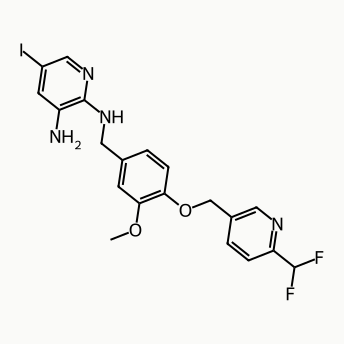 COc1cc(CNc2ncc(I)cc2N)ccc1OCc1ccc(C(F)F)nc1